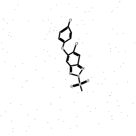 CS(=O)(=O)n1nc2cc(Cl)c(Oc3ccc(Cl)cc3)cc2n1